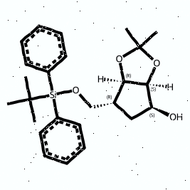 CC1(C)O[C@@H]2[C@@H](CO[Si](c3ccccc3)(c3ccccc3)C(C)(C)C)C[C@H](O)[C@@H]2O1